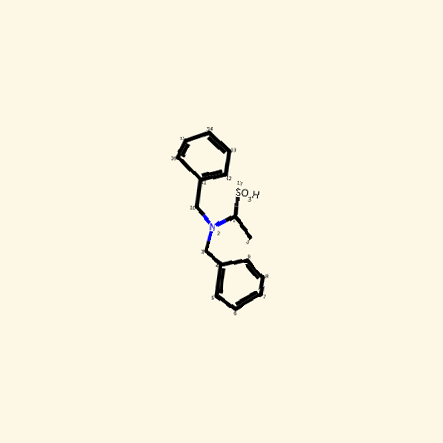 CC(N(Cc1ccccc1)Cc1ccccc1)S(=O)(=O)O